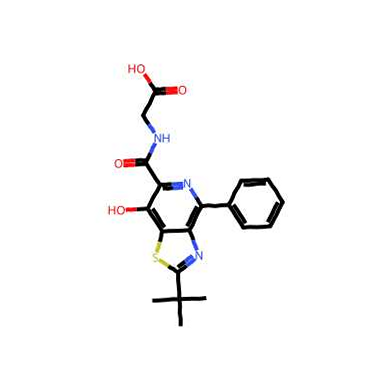 CC(C)(C)c1nc2c(-c3ccccc3)nc(C(=O)NCC(=O)O)c(O)c2s1